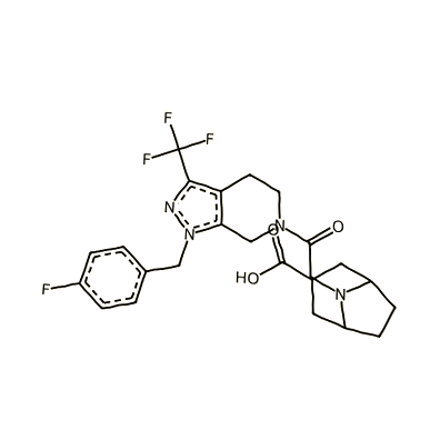 O=C(O)C1CC2CCC(C1)N2CC(=O)N1CCc2c(C(F)(F)F)nn(Cc3ccc(F)cc3)c2C1